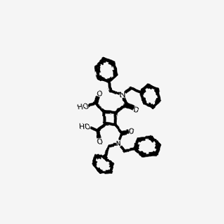 O=C(O)C1C(C(=O)O)C(C(=O)N(Cc2ccccc2)Cc2ccccc2)C1C(=O)N(Cc1ccccc1)Cc1ccccc1